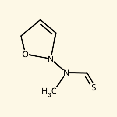 CN([C]=S)N1C=CCO1